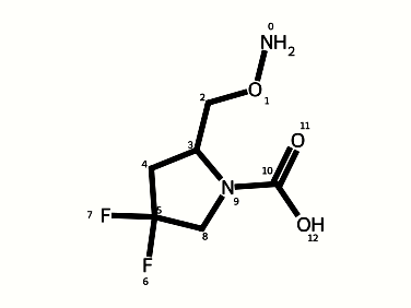 NOCC1CC(F)(F)CN1C(=O)O